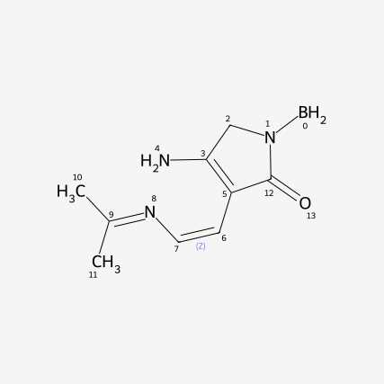 BN1CC(N)=C(/C=C\N=C(C)C)C1=O